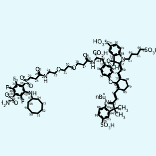 CCCC[N+]1=C(/C=C/C2=C(Oc3ccc(C[C@H](NC(=O)CCOCCOCCNC(=O)CCS(=O)(=O)c4c(F)c(F)c(S(N)(=O)=O)c(F)c4NC4CCCCCCC4)C(=O)O)cc3)C(=C/C=C3/N(CCCCS(=O)(=O)O)c4ccc(S(=O)(=O)O)cc4C3(C)C)/CCC2)C(C)(C)c2cc(S(=O)(=O)O)ccc21